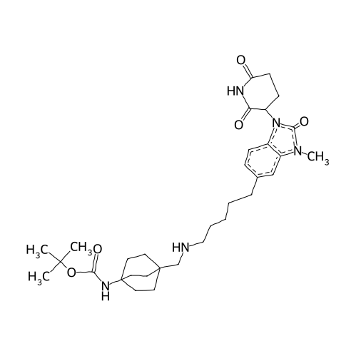 Cn1c(=O)n(C2CCC(=O)NC2=O)c2ccc(CCCCCNCC34CCC(NC(=O)OC(C)(C)C)(CC3)CC4)cc21